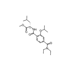 CCN(CC)C(=O)c1ccc(C(=O)N[C@@H](CC(C)C)C(=O)OC)c(OC(C)C)c1